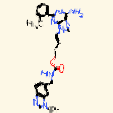 Cc1ccccc1-c1nc(N)c2ncn(CCCCOC(=O)NCc3ccc4ncn(C(C)C)c4c3)c2n1